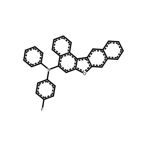 Fc1ccc(N(c2ccccc2)c2cc3oc4cc5ccccc5cc4c3c3ccccc23)cc1